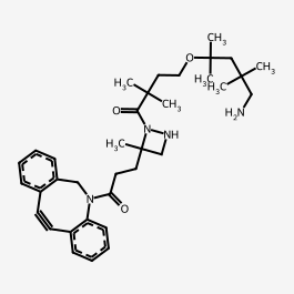 CC(C)(CN)CC(C)(C)OCCC(C)(C)C(=O)N1NCC1(C)CCC(=O)N1Cc2ccccc2C#Cc2ccccc21